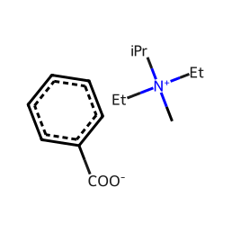 CC[N+](C)(CC)C(C)C.O=C([O-])c1ccccc1